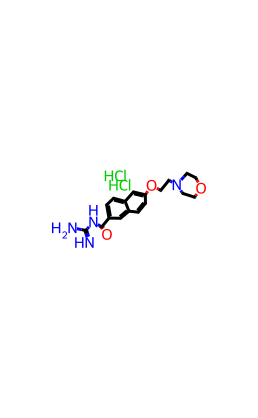 Cl.Cl.N=C(N)NC(=O)c1ccc2cc(OCCN3CCOCC3)ccc2c1